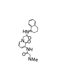 CNCC(=O)Nc1cccn(CC(=O)N[C@@H]2CCCc3ccccc32)c1=O